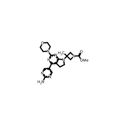 COC(=O)N1CC(C)(N2CCc3c(-c4cnc(N)nc4)nc(N4CCOCC4)nc32)C1